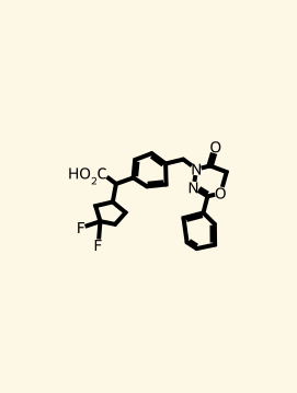 O=C(O)C(c1ccc(CN2N=C(c3ccccc3)OCC2=O)cc1)C1CCC(F)(F)C1